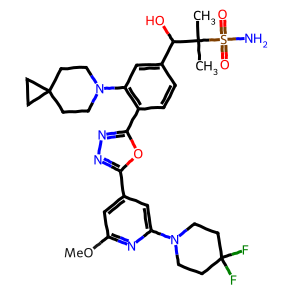 COc1cc(-c2nnc(-c3ccc(C(O)C(C)(C)S(N)(=O)=O)cc3N3CCC4(CC3)CC4)o2)cc(N2CCC(F)(F)CC2)n1